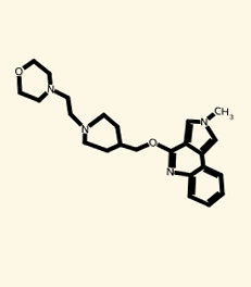 Cn1cc2c(OCC3CCN(CCN4CCOCC4)CC3)nc3ccccc3c2c1